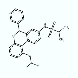 CC(C)S(=O)(=O)Nc1ccc2c(c1)C(c1ccccc1)Oc1cccc(OC(F)F)c1-2